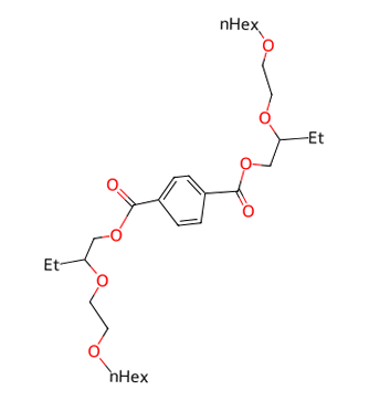 CCCCCCOCCOC(CC)COC(=O)c1ccc(C(=O)OCC(CC)OCCOCCCCCC)cc1